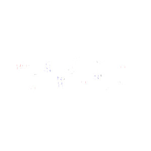 O=C(O)NNC(=O)ON1CCOCC1